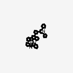 c1ccc(-c2cc(-c3cccc(-c4cc5c6ccccc6n(-c6nc7ccccc7c7nc8ccccc8n67)c5c5ccccc45)c3)cc(-c3ccccc3)n2)cc1